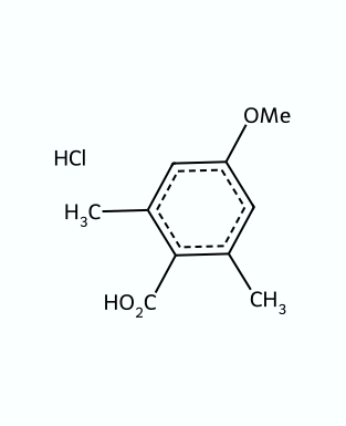 COc1cc(C)c(C(=O)O)c(C)c1.Cl